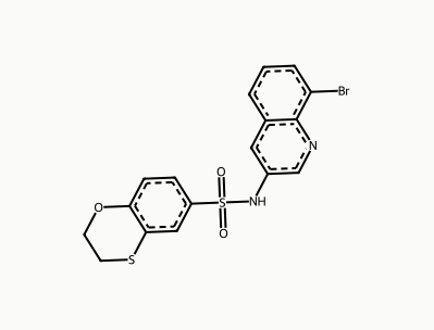 O=S(=O)(Nc1cnc2c(Br)cccc2c1)c1ccc2c(c1)SCCO2